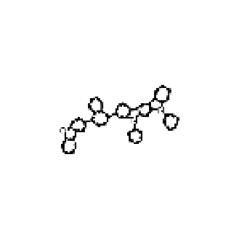 c1ccc(-n2c3ccccc3c3cc4c5ccc(-c6ccc(-c7ccc8oc9ccccc9c8c7)c7ccccc67)cc5n(-c5ccccc5)c4cc32)cc1